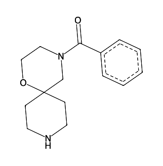 O=C(c1ccccc1)N1CCOC2(CCNCC2)C1